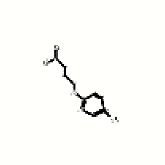 CCN(CC)CCCOc1ccc(C)cn1